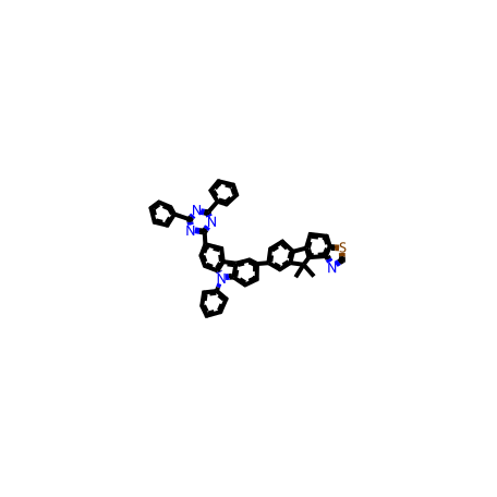 CC1(C)c2cc(-c3ccc4c(c3)c3cc(-c5nc(-c6ccccc6)nc(-c6ccccc6)n5)ccc3n4-c3ccccc3)ccc2-c2ccc3scnc3c21